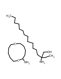 CCCCCCCCCCCCCC(N)(CC)CO.NC1CCCCCCCCCCC1